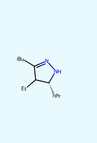 CCC[C@H]1NN=C(C(C)CC)C1CC